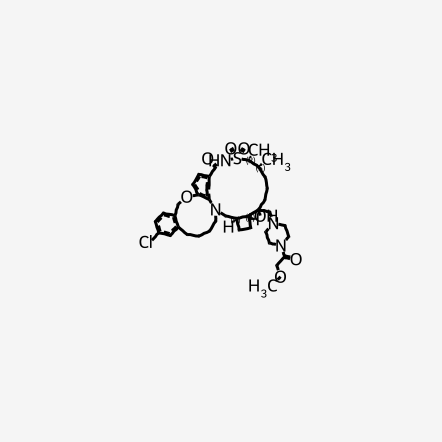 COCC(=O)N1CCN(CC2(O)CCC[C@H](C)[C@@H](C)S(=O)(=O)NC(=O)c3ccc4c(c3)N(CCCCc3cc(Cl)ccc3CO4)C[C@@H]3CC[C@H]32)CC1